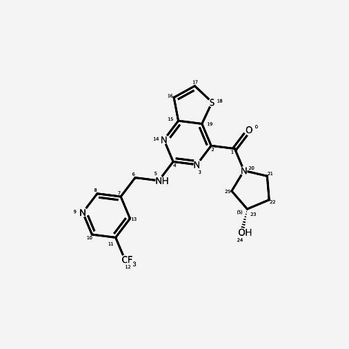 O=C(c1nc(NCc2cncc(C(F)(F)F)c2)nc2ccsc12)N1CC[C@H](O)C1